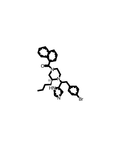 CCCC[C@H]1CN(C(=O)c2cccc3ccccc23)CCN1C(Cc1ccc(Br)cc1)c1cnc[nH]1